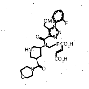 COCc1c(C(=O)N(CC(C)C)[C@@H]2CNC[C@H](C(=O)N3CCOCC3)C2)nnn1-c1ccccc1F.O=C(O)/C=C/C(=O)O